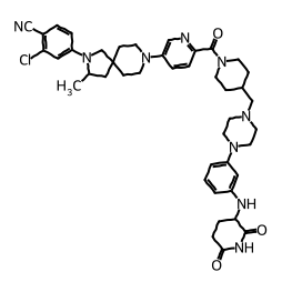 CC1CC2(CCN(c3ccc(C(=O)N4CCC(CN5CCN(c6cccc(NC7CCC(=O)NC7=O)c6)CC5)CC4)nc3)CC2)CN1c1ccc(C#N)c(Cl)c1